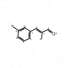 C/C(C=O)=C\c1cccc(C)c1